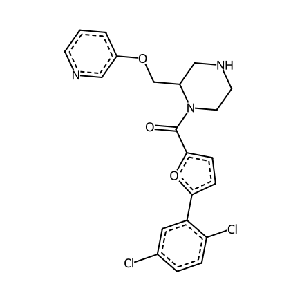 O=C(c1ccc(-c2cc(Cl)ccc2Cl)o1)N1CCNCC1COc1cccnc1